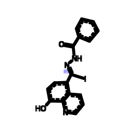 O=C(N/N=C(\I)c1ccc(O)c2ncccc12)c1ccccc1